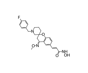 CO/N=C1\CC2(CCCN(Cc3ccc(F)cc3)C2)Oc2ccc(/C=C/C(=O)NO)cc21